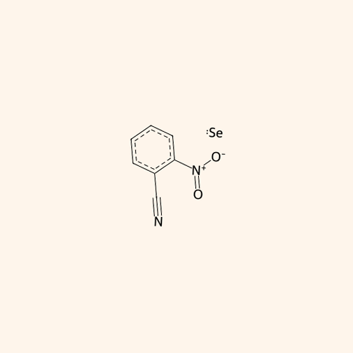 N#Cc1ccccc1[N+](=O)[O-].[Se]